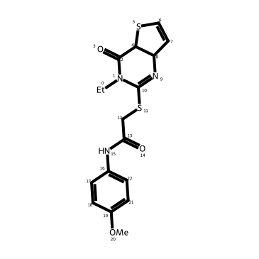 CCN1C(=O)C2SC=CC2N=C1SCC(=O)Nc1ccc(OC)cc1